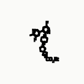 CCOC(=O)N1CC2(CC[C@@H](N3CCN(c4ncc(F)cc4-c4cnc(C)c(F)c4)CC3)C2)C1